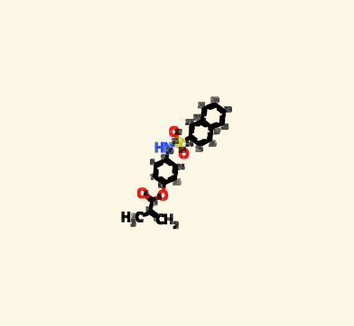 C=C(C)C(=O)Oc1ccc(NS(=O)(=O)c2ccc3ccccc3c2)cc1